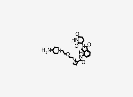 NC1CCN(CCOCCN2CCC2C(=O)Nc2cccc3c2CN(C2CCC(=O)NC2=O)C3=O)CC1